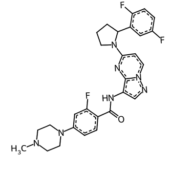 CN1CCN(c2ccc(C(=O)Nc3cnn4ccc(N5CCCC5c5cc(F)ccc5F)nc34)c(F)c2)CC1